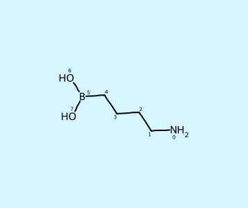 NCCCCB(O)O